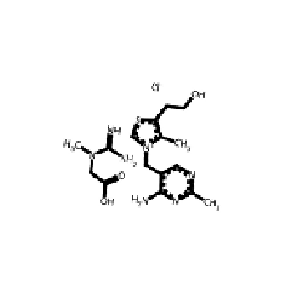 CN(CC(=O)O)C(=N)N.Cc1ncc(C[n+]2csc(CCO)c2C)c(N)n1.[Cl-]